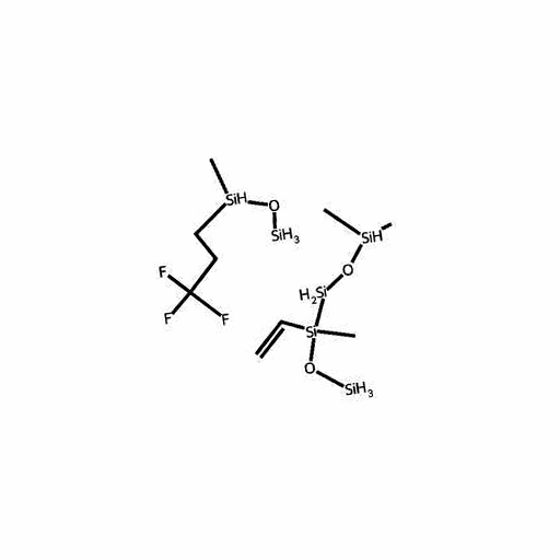 C=C[Si](C)(O[SiH3])[SiH2]O[SiH](C)C.C[SiH](CCC(F)(F)F)O[SiH3]